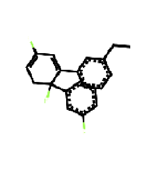 CCc1cccc(C2=CC(F)=CCC2(F)c2cccc(F)c2)c1